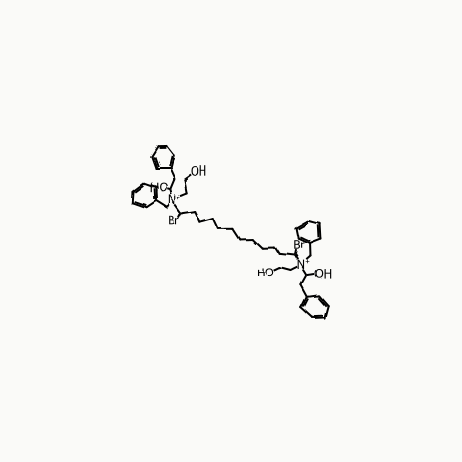 OCC[N+](Cc1ccccc1)(C(O)Cc1ccccc1)C(Br)CCCCCCCCCCC(Br)[N+](CCO)(Cc1ccccc1)C(O)Cc1ccccc1